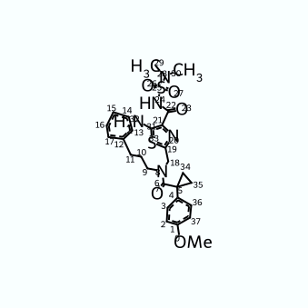 COc1ccc(C2(C(=O)N(CCCc3ccccc3)Cc3nc(C(=O)NS(=O)(=O)N(C)C)c(N)s3)CC2)cc1